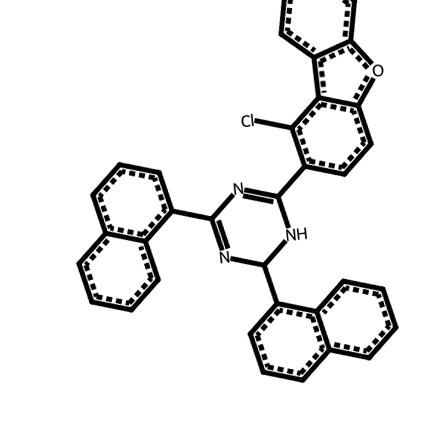 Clc1c(C2=NC(c3cccc4ccccc34)=NC(c3cccc4ccccc34)N2)ccc2oc3ccccc3c12